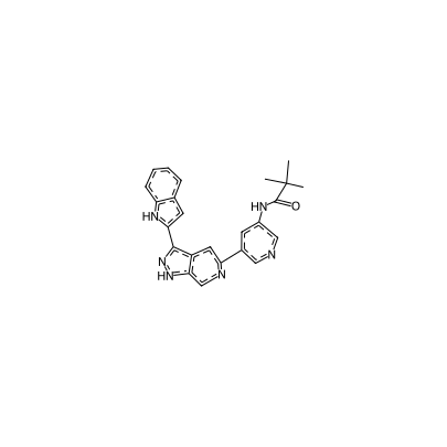 CC(C)(C)C(=O)Nc1cncc(-c2cc3c(-c4cc5ccccc5[nH]4)n[nH]c3cn2)c1